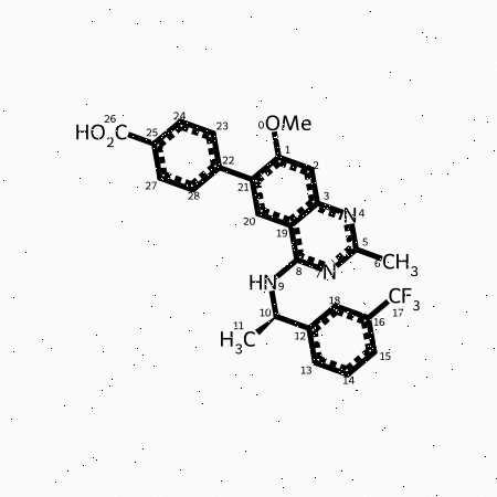 COc1cc2nc(C)nc(N[C@H](C)c3cccc(C(F)(F)F)c3)c2cc1-c1ccc(C(=O)O)cc1